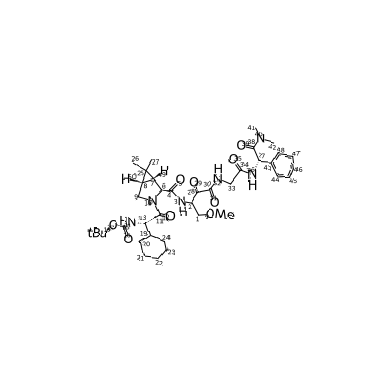 COCC(NC(=O)[C@@H]1[C@@H]2[C@H](CN1C(=O)[C@@H](NC(=O)OC(C)(C)C)C1CCCCC1)C2(C)C)C(=O)C(=O)NCC(=O)N[C@H](C(=O)N(C)C)c1ccccc1